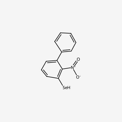 O=[N+]([O-])c1c([SeH])cccc1-c1ccccc1